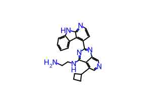 NCCNc1nc(-c2ccnc3[nH]c4ccccc4c23)nc2cncc(C3CCC3)c12